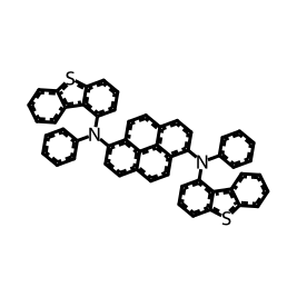 c1ccc(N(c2ccc3ccc4c(N(c5ccccc5)c5cccc6sc7ccccc7c56)ccc5ccc2c3c54)c2cccc3sc4ccccc4c23)cc1